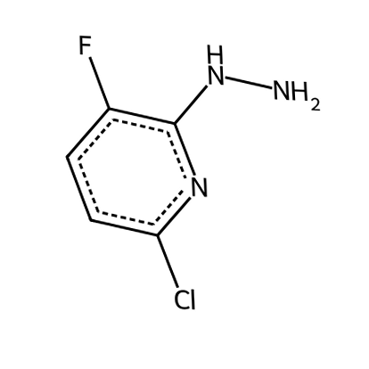 NNc1nc(Cl)ccc1F